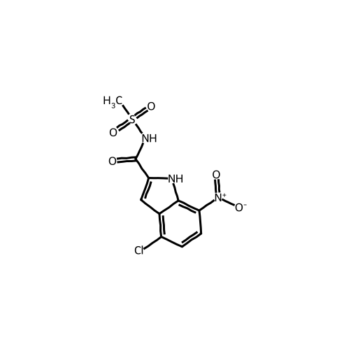 CS(=O)(=O)NC(=O)c1cc2c(Cl)ccc([N+](=O)[O-])c2[nH]1